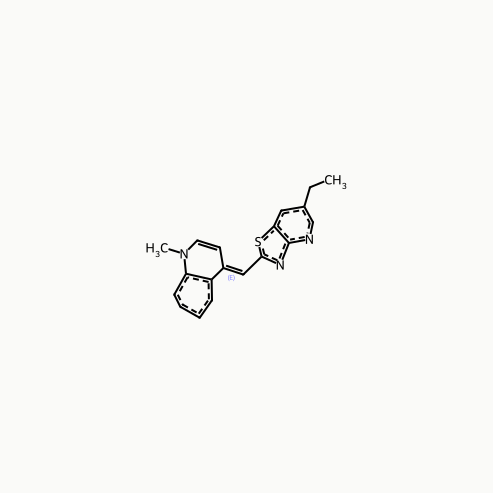 CCc1cnc2nc(/C=C3\C=CN(C)c4ccccc43)sc2c1